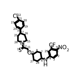 O=[N+]([O-])c1ccc(NC2CCC(OCC(=S)N3CCC(c4ccc(Cl)cc4)CC3)CC2)cc1C(F)(F)F